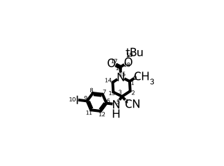 CC1CC(C#N)(Nc2ccc(I)cc2)CCN1C(=O)OC(C)(C)C